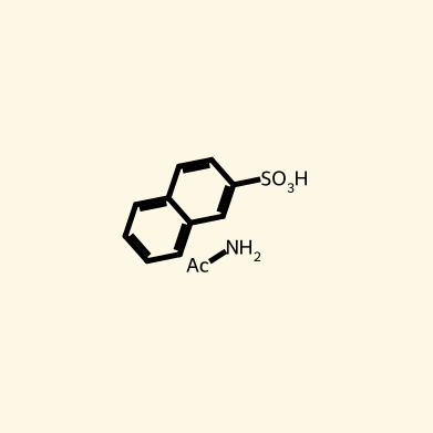 CC(N)=O.O=S(=O)(O)c1ccc2ccccc2c1